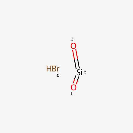 Br.O=[Si]=O